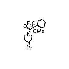 COC(C(=O)N1CCN(C(C)C)CC1)(c1ccccc1)C(F)(F)F